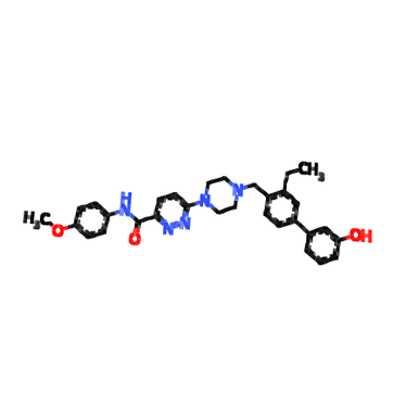 CCc1cc(-c2cccc(O)c2)ccc1CN1CCN(c2ccc(C(=O)Nc3ccc(OC)cc3)nn2)CC1